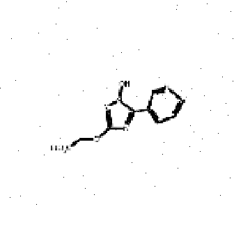 CCOC(=O)COc1nc(-c2cccnc2)n(O)n1